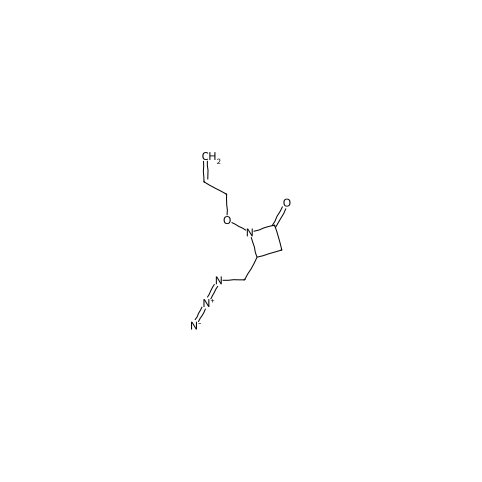 C=CCON1C(=O)CC1CN=[N+]=[N-]